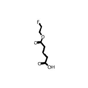 O=C(O)CCCC(=O)OCCF